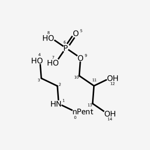 CCCCCNCCO.O=P(O)(O)OCC(O)CO